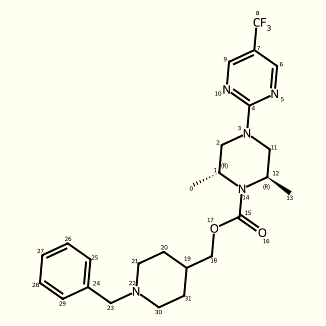 C[C@@H]1CN(c2ncc(C(F)(F)F)cn2)C[C@@H](C)N1C(=O)OCC1CCN(Cc2ccccc2)CC1